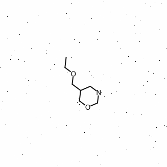 CCOCC1C[N]COC1